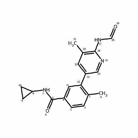 Cc1ccc(C(=O)NC2CC2)cc1-c1cnc(NC=O)c(C)c1